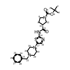 CC(C)(C)OC(=O)N1CC[C@H](C(=O)Nc2ncc(N3CCN(Cc4ccccc4)CC3)s2)C1